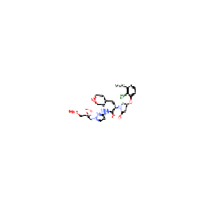 COc1cccc(OC2=CC(=O)N(C(CC3CCOCC3)C(=O)Nc3ccn(C[C@@H](O)CO)n3)C2)c1Cl